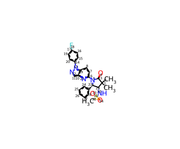 CC1(C)C(=O)N(c2ccc3c(cnn3-c3ccc(F)cc3)n2)[C@H](c2ccccc2)[C@H]1NS(C)(=O)=O